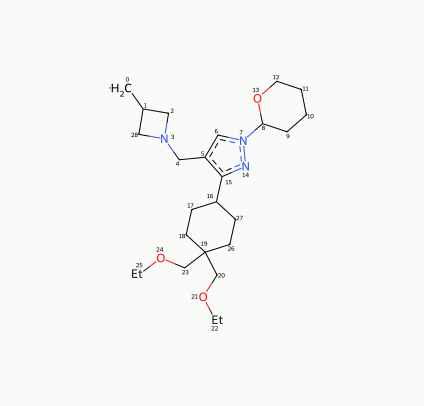 [CH2]C1CN(Cc2cn(C3CCCCO3)nc2C2CCC(COCC)(COCC)CC2)C1